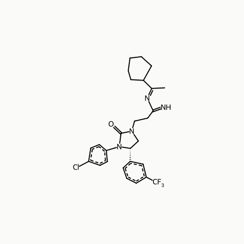 C/C(=N\C(=N)CCN1C[C@H](c2cccc(C(F)(F)F)c2)N(c2ccc(Cl)cc2)C1=O)C1CCCCC1